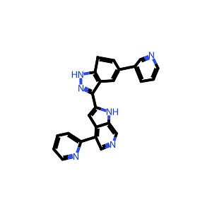 c1ccc(-c2cncc3[nH]c(-c4n[nH]c5ccc(-c6cccnc6)cc45)cc23)nc1